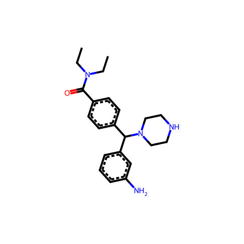 CCN(CC)C(=O)c1ccc(C(c2cccc(N)c2)N2CCNCC2)cc1